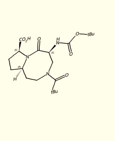 CC(C)(C)OC(=O)N[C@H]1CN(C(=O)C(C)(C)C)CC[C@H]2CC[C@@H](C(=O)O)N2C1=O